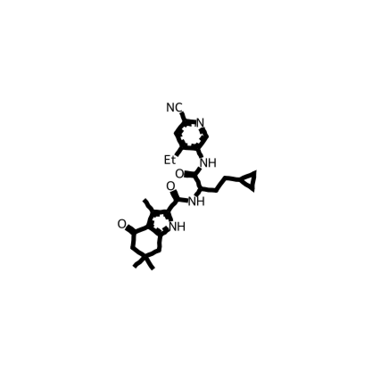 CCc1cc(C#N)ncc1NC(=O)C(CCC1CC1)NC(=O)c1[nH]c2c(c1C)C(=O)CC(C)(C)C2